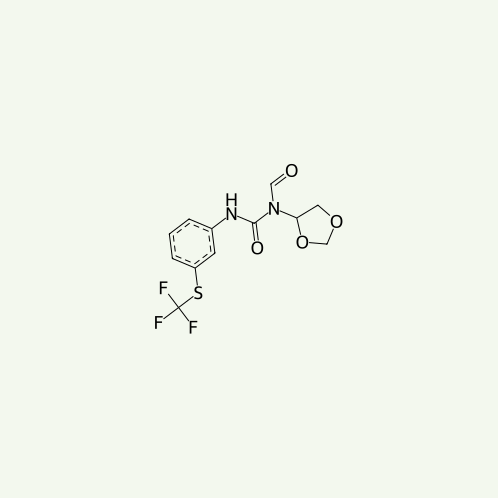 O=CN(C(=O)Nc1cccc(SC(F)(F)F)c1)C1COCO1